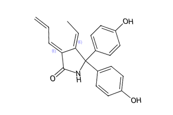 C=C/C=C1/C(=O)NC(c2ccc(O)cc2)(c2ccc(O)cc2)/C1=C/C